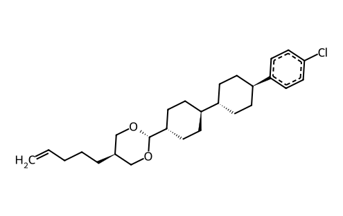 C=CCCC[C@H]1CO[C@H]([C@H]2CC[C@H]([C@H]3CC[C@H](c4ccc(Cl)cc4)CC3)CC2)OC1